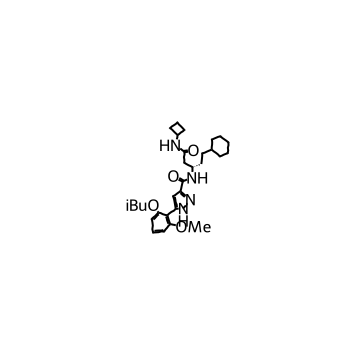 COc1cccc(OCC(C)C)c1-c1cc(C(=O)N[C@@H](CCC2CCCCC2)CC(=O)NC2CCC2)n[nH]1